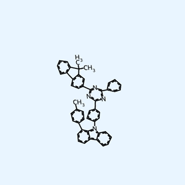 Cc1ccc(-c2cccc3c4ccccc4n(-c4ccc(-c5nc(-c6ccccc6)nc(-c6ccc7c(c6)C(C)(C)c6ccccc6-7)n5)cc4)c23)cc1